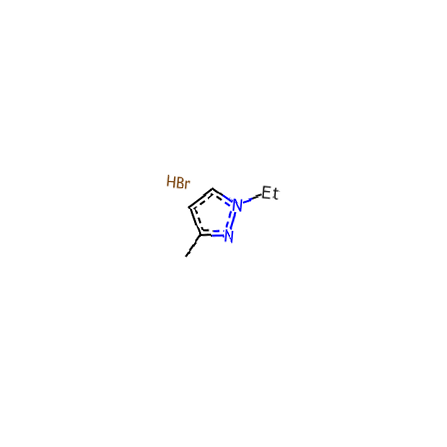 Br.CCn1ccc(C)n1